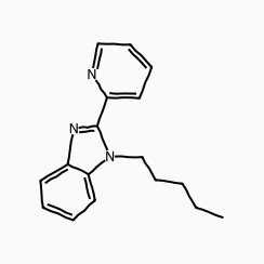 CCCCCn1c(-c2ccccn2)nc2ccccc21